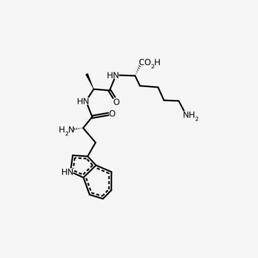 C[C@H](NC(=O)[C@@H](N)Cc1c[nH]c2ccccc12)C(=O)N[C@@H](CCCCN)C(=O)O